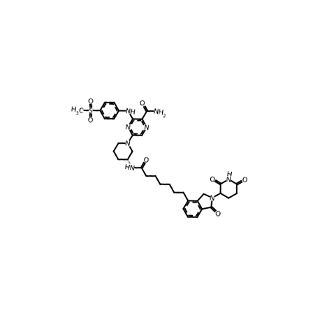 CS(=O)(=O)c1ccc(Nc2nc(N3CCC[C@@H](NC(=O)CCCCCCc4cccc5c4CN(C4CCC(=O)NC4=O)C5=O)C3)cnc2C(N)=O)cc1